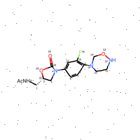 CC(=O)NC[C@H]1CN(c2ccc(N3CCNOC3)c(F)c2)C(=O)O1